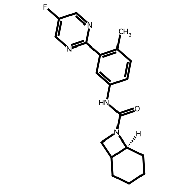 Cc1ccc(NC(=O)N2CC3CCCC[C@@H]32)cc1-c1ncc(F)cn1